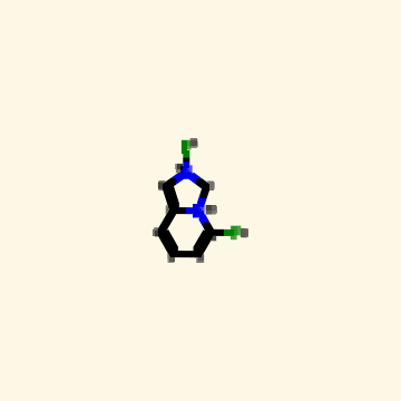 FC1=CC=CC2=CN(F)CN12